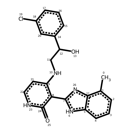 Cc1cccc2[nH]c(-c3c(NCC(O)c4cccc(Cl)c4)cc[nH]c3=O)nc12